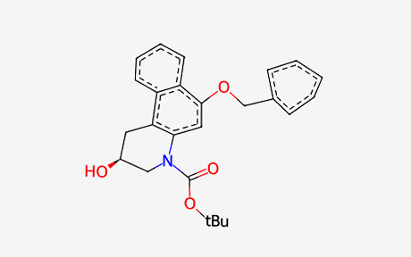 CC(C)(C)OC(=O)N1C[C@@H](O)Cc2c1cc(OCc1ccccc1)c1ccccc21